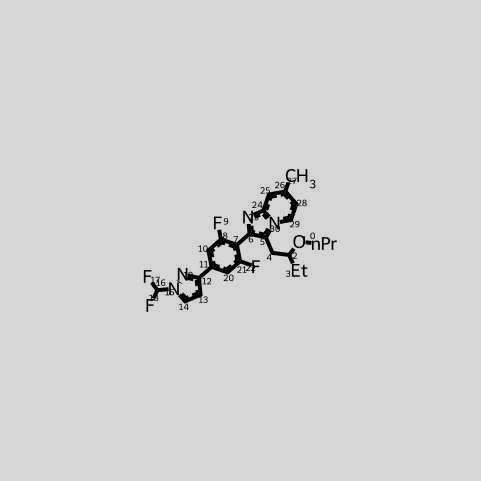 CCCOC(CC)Cc1c(-c2c(F)cc(-c3ccn(C(F)F)n3)cc2F)nc2cc(C)ccn12